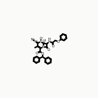 CC1=C(C(=O)OC(c2ccccc2)c2ccccc2)N2C(=O)C(NC(=O)COc3ccccc3)[C@H]2[S+]([O-])C1=[N+]=[N-]